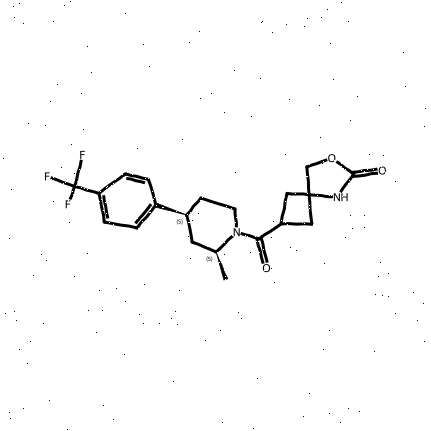 C[C@H]1C[C@@H](c2ccc(C(F)(F)F)cc2)CCN1C(=O)C1CC2(COC(=O)N2)C1